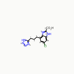 O=C(O)c1nc2c(CCCc3nnn[nH]3)cc(Cl)cc2[nH]1